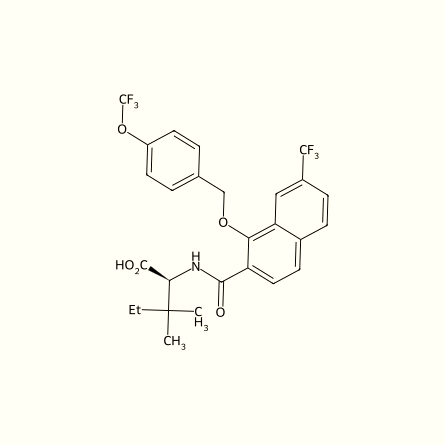 CCC(C)(C)[C@H](NC(=O)c1ccc2ccc(C(F)(F)F)cc2c1OCc1ccc(OC(F)(F)F)cc1)C(=O)O